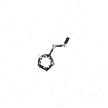 C=NOc1nccs1